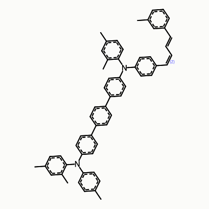 Cc1ccc(N(c2ccc(-c3ccc(-c4ccc(N(c5ccc(/C=C\C=Cc6cccc(C)c6)cc5)c5ccc(C)cc5C)cc4)cc3)cc2)c2ccc(C)cc2C)cc1